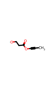 CC#COC(=O)CC[O]